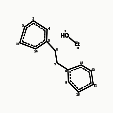 CCO.c1ccc(CCc2ccccc2)cc1